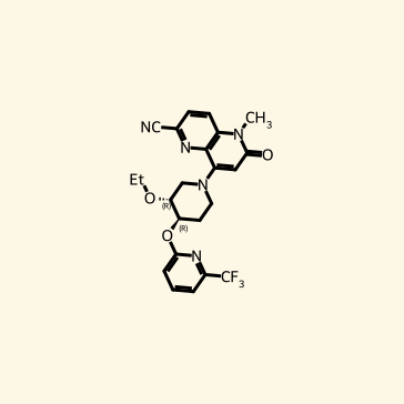 CCO[C@@H]1CN(c2cc(=O)n(C)c3ccc(C#N)nc23)CC[C@H]1Oc1cccc(C(F)(F)F)n1